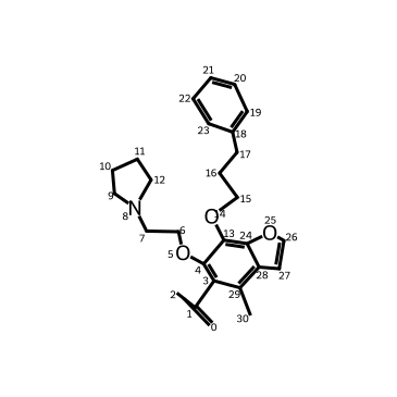 C=C(C)c1c(OCCN2CCCC2)c(OCCCc2ccccc2)c2occc2c1C